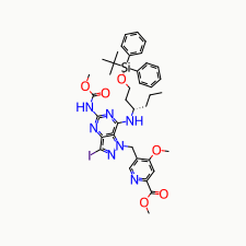 CCC[C@@H](CCO[Si](c1ccccc1)(c1ccccc1)C(C)(C)C)Nc1nc(NC(=O)OC)nc2c(I)nn(Cc3cnc(C(=O)OC)cc3OC)c12